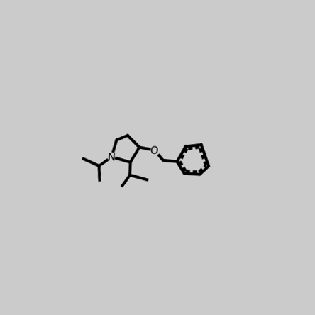 CC(C)C1C(OCc2ccccc2)CCN1C(C)C